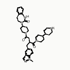 Cn1ncc2cc(CC(CC(=O)N3CCC(N4CCc5ccccc5NC4=O)CC3)C(=O)N3CCC(C4CCNCC4)CC3)ccc21